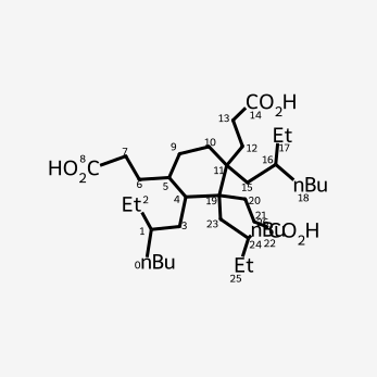 CCCCC(CC)CC1C(CCC(=O)O)CCC(CCC(=O)O)(CC(CC)CCCC)C1(CCC(=O)O)CC(CC)CCCC